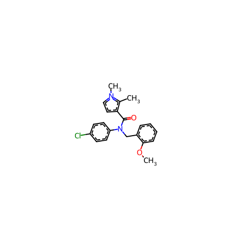 COc1ccccc1CN(C(=O)c1ccn(C)c1C)c1ccc(Cl)cc1